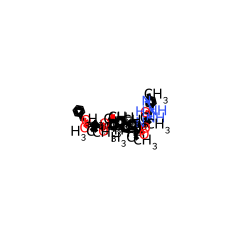 Cc1ccc(NC(=O)NC(C)(C)C(=O)N[C@@]23CC[C@]4(C)[C@H](CC[C@@H]5[C@@]6(C)CC[C@H](OC(=O)[C@H]7C[C@@H](C(=O)OCc8ccccc8)C7(C)C)C(C)(C)[C@@H]6CC[C@]54C)C2=C(C(C)C)C(=O)C3)cn1